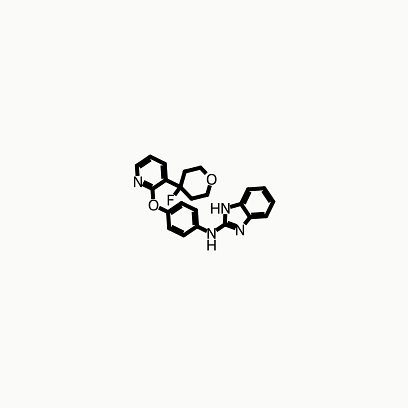 FC1(c2cccnc2Oc2ccc(Nc3nc4ccccc4[nH]3)cc2)CCOCC1